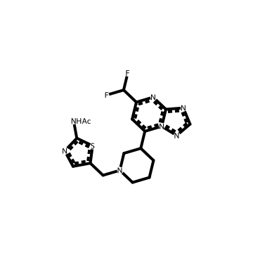 CC(=O)Nc1ncc(CN2CCCC(c3cc(C(F)F)nc4ncnn34)C2)s1